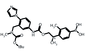 Cc1cc(B(O)O)ccc1[C@@H](C)COC(=O)Nc1ccc(-n2ccnc2)c(CN(C)C(=O)OC(C)(C)C)c1